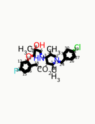 C[C@@H]1C[C@@H](NC[C@](C)(O)COc2cc(F)ccc2CC(=O)O)[C@@H](C)CN1Cc1ccc(Cl)cc1